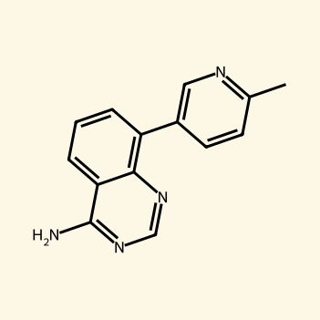 Cc1ccc(-c2cccc3c(N)ncnc23)cn1